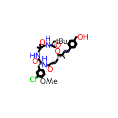 COc1ccc(C[C@H]2NC(=O)/C=C/C[C@@H]([C@H](C)/C=C/c3ccc(CO)cc3)OC(=O)[C@H](CC(C)(C)C)NC(=O)C(C)(C)CNC2=O)cc1Cl